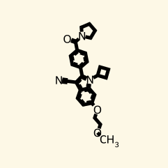 COCCOc1ccc2c(C#N)c(-c3ccc(C(=O)N4CCCC4)cc3)n(C3CCC3)c2c1